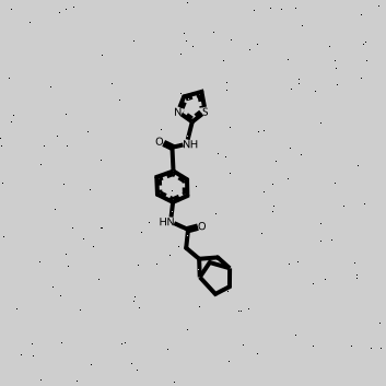 O=C(CC1CC2CCC1C2)Nc1ccc(C(=O)Nc2nccs2)cc1